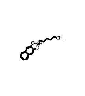 CCCCCC[SiH]1Oc2cc3ccccc3cc2O1